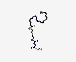 CC/C=C\C/C=C\C/C=C\C/C=C\C/C=C\C/C=C\CCC(=O)NCCOCCNC(=O)/C=C/C(=O)OC